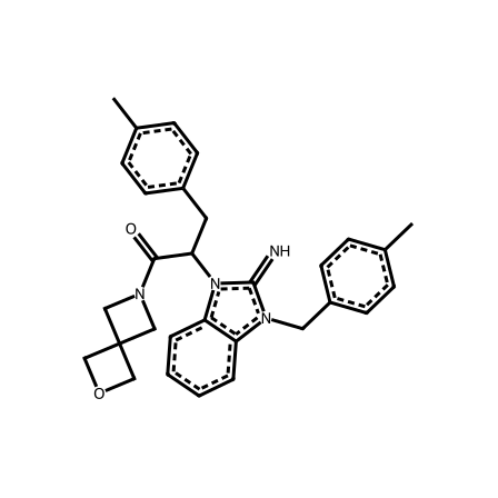 Cc1ccc(CC(C(=O)N2CC3(COC3)C2)n2c(=N)n(Cc3ccc(C)cc3)c3ccccc32)cc1